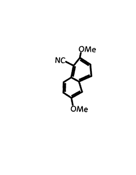 COc1ccc2c(C#N)c(OC)ccc2c1